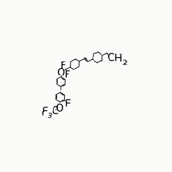 C=CC1CCC(/C=C/C2CCC(C(F)(F)Oc3ccc(-c4ccc(OC(F)(F)F)c(F)c4)cc3)CC2)CC1